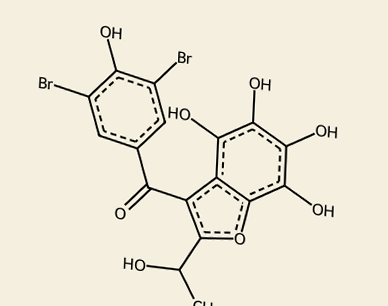 CC(O)c1oc2c(O)c(O)c(O)c(O)c2c1C(=O)c1cc(Br)c(O)c(Br)c1